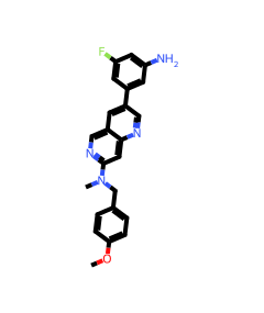 COc1ccc(CN(C)c2cc3ncc(-c4cc(N)cc(F)c4)cc3cn2)cc1